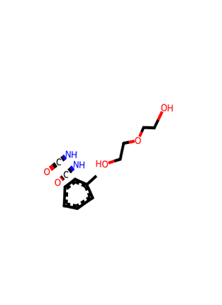 Cc1ccccc1.N=C=O.N=C=O.OCCOCCO